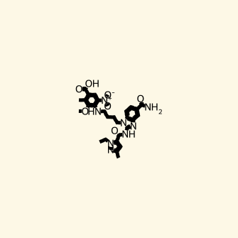 CCn1nc(C)cc1C(=O)Nc1nc2cc(C(N)=O)ccc2n1CCCCNc1c([N+](=O)[O-])cc(C(=O)O)c(C)c1OC